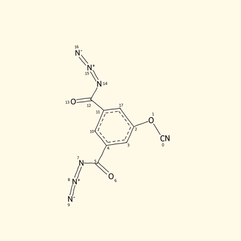 N#COc1cc(C(=O)N=[N+]=[N-])cc(C(=O)N=[N+]=[N-])c1